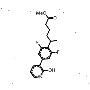 COC(=O)CCCC(C)c1c(F)cc(-c2cccnc2O)cc1F